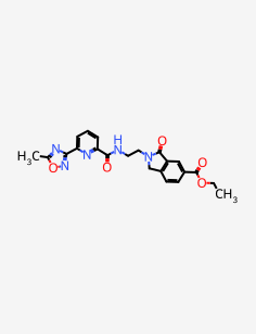 CCOC(=O)c1ccc2c(c1)C(=O)N(CCNC(=O)c1cccc(-c3noc(C)n3)n1)C2